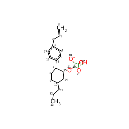 C=CCc1ccc([C@H]2CC[C@H](CCC)CC2)cc1.[O-][Cl+3]([O-])([O-])O